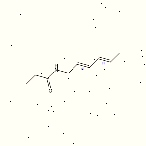 C/C=C/C=C/CNC(=O)CC